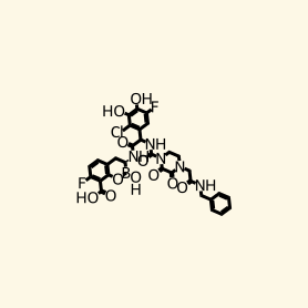 O=C(CN1CCN(C(=O)NC(C(=O)N[C@H]2Cc3ccc(F)c(C(=O)O)c3OB2O)c2cc(F)c(O)c(O)c2Cl)C(=O)C1=O)NCc1ccccc1